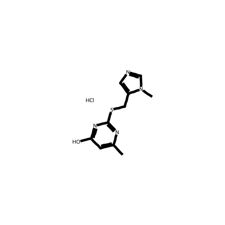 Cc1cc(O)nc(SCc2cncn2C)n1.Cl